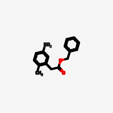 Cc1ccc([N+](=O)[O-])cc1CC(=O)OCc1ccccc1